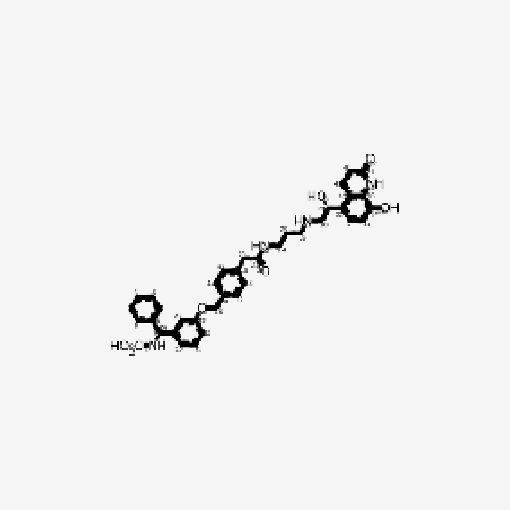 O=C(O)N[C@@H](c1ccccc1)c1cccc(OCc2ccc(CC(=O)NCCCNC[C@H](O)c3ccc(O)c4[nH]c(=O)ccc34)cc2)c1